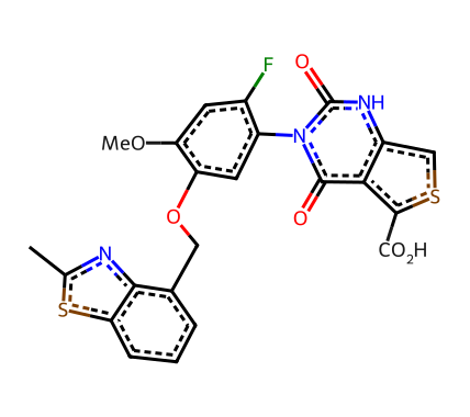 COc1cc(F)c(-n2c(=O)[nH]c3csc(C(=O)O)c3c2=O)cc1OCc1cccc2sc(C)nc12